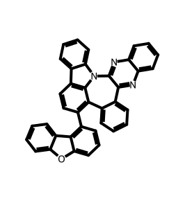 c1ccc2c(c1)-c1nc3ccccc3nc1-n1c3ccccc3c3ccc(-c4cccc5oc6ccccc6c45)c-2c31